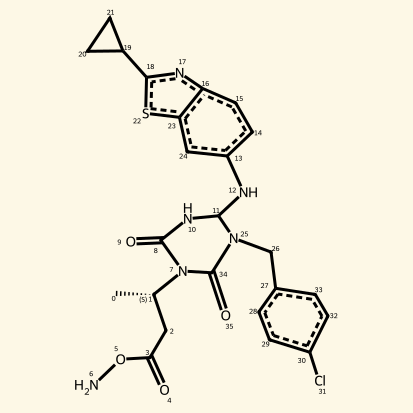 C[C@@H](CC(=O)ON)N1C(=O)NC(Nc2ccc3nc(C4CC4)sc3c2)N(Cc2ccc(Cl)cc2)C1=O